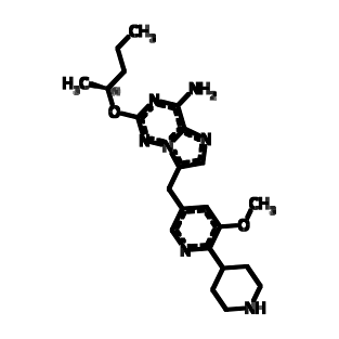 CCC[C@H](C)Oc1nc(N)c2ncc(Cc3cnc(C4CCNCC4)c(OC)c3)n2n1